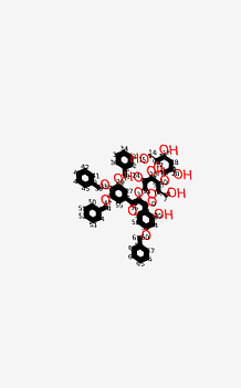 O=c1c(O[C@@H]2O[C@H](CO)[C@@H](O[C@@H]3O[C@H](CO)[C@H](O)C[C@H]3O)[C@H](O)[C@H]2O)c(-c2cc(OCc3ccccc3)c(OCc3ccccc3)c(OCc3ccccc3)c2)oc2cc(OCc3ccccc3)cc(O)c12